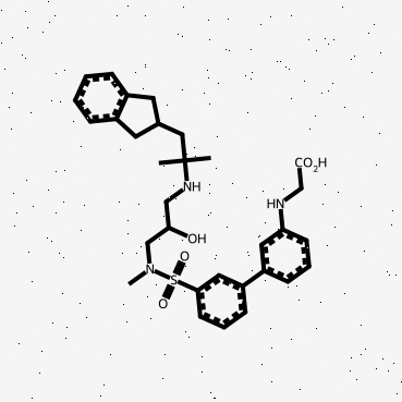 CN(CC(O)CNC(C)(C)CC1Cc2ccccc2C1)S(=O)(=O)c1cccc(-c2cccc(NCC(=O)O)c2)c1